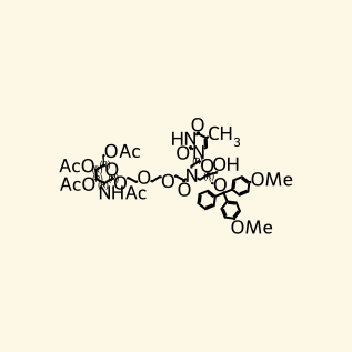 COc1ccc(C(OC[C@]2(CO)CN(C(=O)COCCOCCO[C@@H]3O[C@H](COC(C)=O)[C@H](OC(C)=O)[C@H](OC(C)=O)[C@H]3NC(C)=O)C[C@H](n3cc(C)c(=O)[nH]c3=O)O2)(c2ccccc2)c2ccc(OC)cc2)cc1